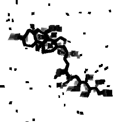 CO[C@@H]1C[C@@H]2C[C@H](O)CC[C@]2(C)[C@H]2CC[C@]3(C)[C@@H]([C@H](C)CCC(=O)N(C)C[C@H](O)[C@@H](O)[C@H](O)[C@H](O)CO)CC[C@H]3[C@H]12